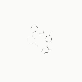 Nc1cnc(-c2ccc(Cl)cc2F)nc1C(=O)Nc1cnccc1N1CCC[C@H](N)C1